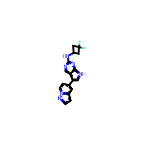 FC1(F)CC(Nc2ncc3c(-c4ccn5nccc5c4)c[nH]c3n2)C1